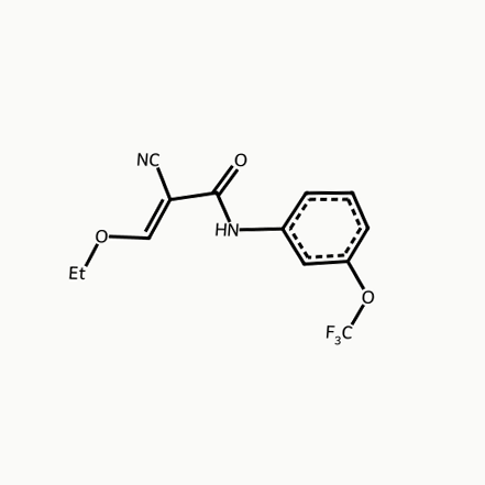 CCOC=C(C#N)C(=O)Nc1cccc(OC(F)(F)F)c1